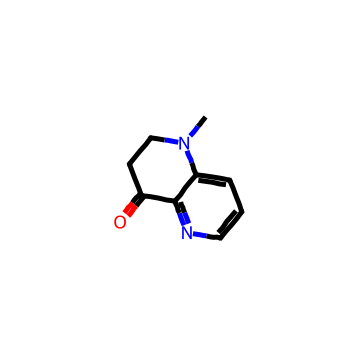 CN1CCC(=O)c2ncccc21